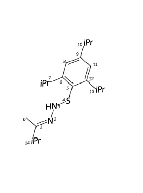 C/C(=N\NSc1c(C(C)C)cc(C(C)C)cc1C(C)C)C(C)C